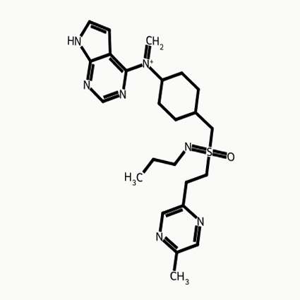 C=[N+](c1ncnc2[nH]ccc12)C1CCC(CS(=O)(CCc2cnc(C)cn2)=NCCC)CC1